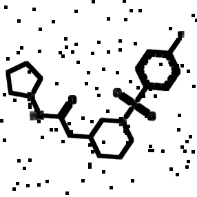 O=C(CC1CCCN(S(=O)(=O)c2ccc(F)cc2)C1)NN1CCCC1